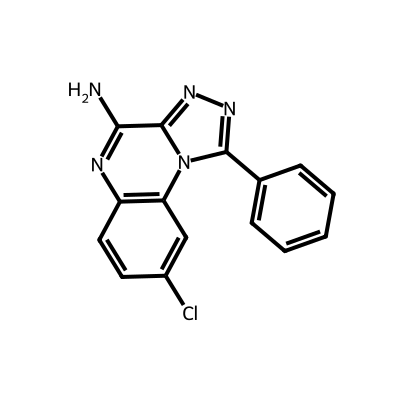 Nc1nc2ccc(Cl)cc2n2c(-c3ccccc3)nnc12